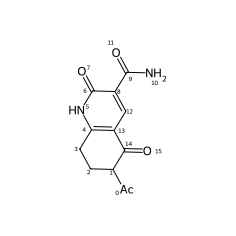 CC(=O)C1CCc2[nH]c(=O)c(C(N)=O)cc2C1=O